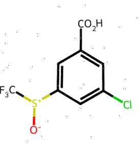 O=C(O)c1cc(Cl)cc([S+]([O-])C(F)(F)F)c1